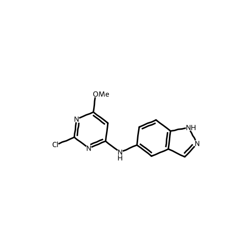 COc1cc(Nc2ccc3[nH]ncc3c2)nc(Cl)n1